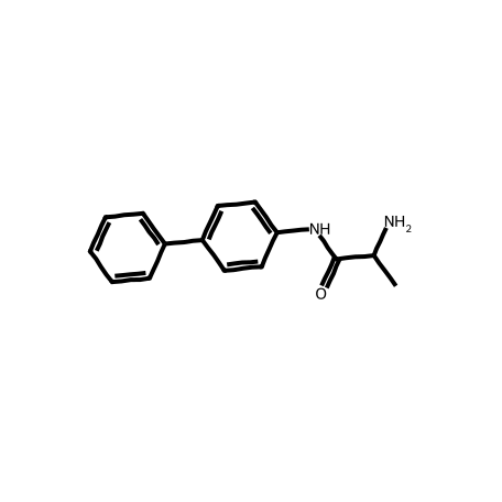 CC(N)C(=O)Nc1ccc(-c2ccccc2)cc1